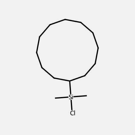 C[Si](C)(Cl)C1CCCCCCCCCCC1